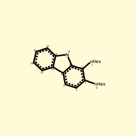 CCCCCCc1ccc2c(c1CCCCCC)[N]c1ccccc1-2